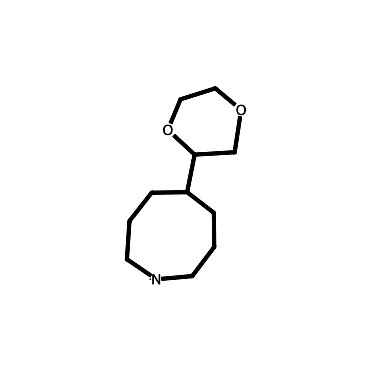 C1C[N]CCCC(C2COCCO2)C1